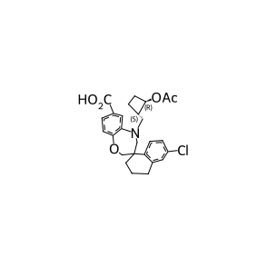 CC(=O)O[C@@H]1CC[C@H]1CN1CC2(CCCc3cc(Cl)ccc32)COc2ccc(C(=O)O)cc21